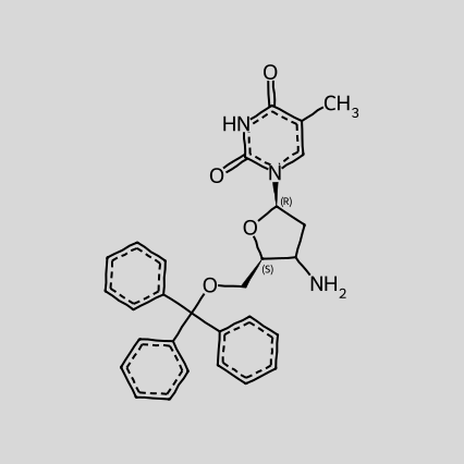 Cc1cn([C@H]2CC(N)[C@@H](COC(c3ccccc3)(c3ccccc3)c3ccccc3)O2)c(=O)[nH]c1=O